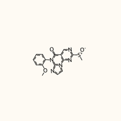 COc1ccccc1-n1c(=O)c2cnc([S+](C)[O-])nc2n2ccnc12